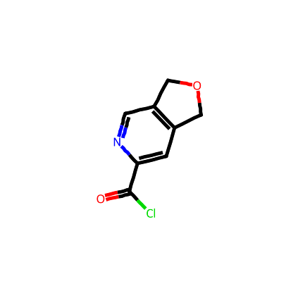 O=C(Cl)c1cc2c(cn1)COC2